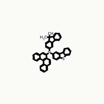 CC1(C)c2ccccc2-c2cc(N(c3ccc4sc5ccccc5c4c3)c3cc4ccccc4c4c3ccc3ccccc34)ccc21